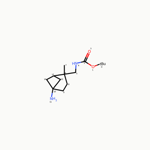 CC(C)(C)OC(=O)NCC1(C)CCC2(N)CC1C2